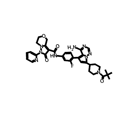 CC(C)(C)C(=O)N1CCC(c2cc(-c3ccc(NC(=O)c4c5n(n(-c6ccccn6)c4=O)CCOC5)cc3F)c3c(N)ncnn23)CC1